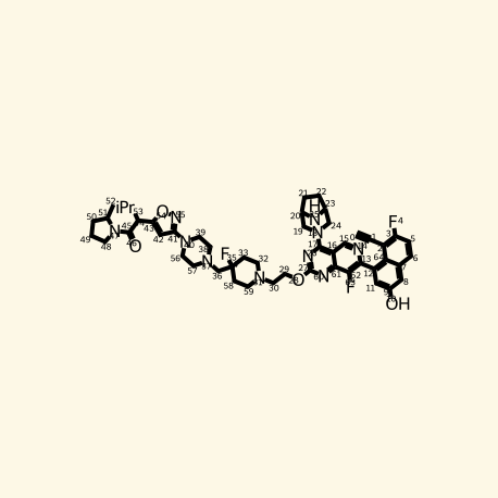 C#Cc1c(F)ccc2cc(O)cc(-c3ncc4c(N5CC6CCC(C5)N6)nc(OCCN5CCC(F)(CN6CCN(c7cc(C(C(=O)N8CCCC8C)C(C)C)on7)CC6)CC5)nc4c3F)c12